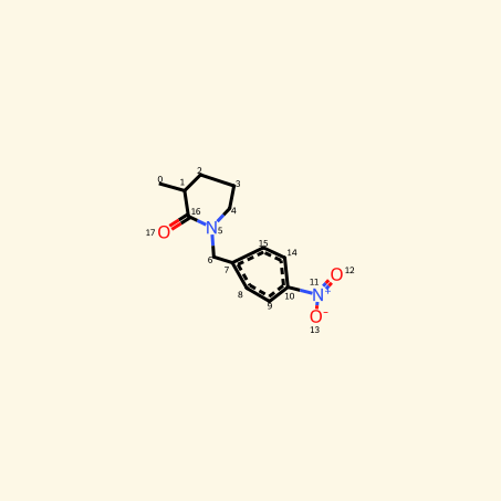 CC1CCCN(Cc2ccc([N+](=O)[O-])cc2)C1=O